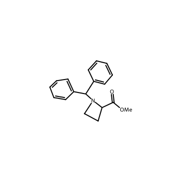 COC(=O)C1CCN1C(c1ccccc1)c1ccccc1